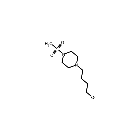 CS(=O)(=O)N1CCN(CCCC[O])CC1